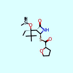 CC[C@](O[SiH](C)C)([C@@H]1C(=O)N[C@H]1SC(=O)[C@H]1CCCO1)C(C)(C)C